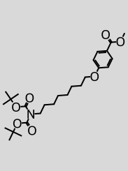 COC(=O)c1ccc(OCCCCCCCCN(C(=O)OC(C)(C)C)C(=O)OC(C)(C)C)cc1